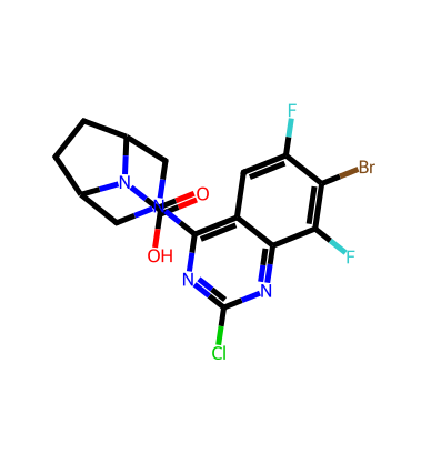 O=C(O)N1C2CCC1CN(c1nc(Cl)nc3c(F)c(Br)c(F)cc13)C2